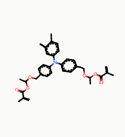 C=C(C)C(=O)OC(C)OCc1ccc(N(c2ccc(COC(C)OC(=O)C(=C)C)cc2)c2ccc(C)c(C)c2)cc1